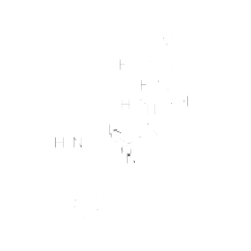 C[C@]12C=CC(=O)C=C1[C@@H](F)C[C@H]1[C@@H]3C[C@H]4CN(CCCc5ccccc5)C[C@@]4(C(=O)OCCN)[C@@]3(C)C[C@H](O)[C@@]12F